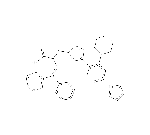 O=C1Nc2ccccc2C(c2ccccc2)=NC1Nc1nnc(-c2ccc(-n3cccn3)cc2N2CCOCC2)o1